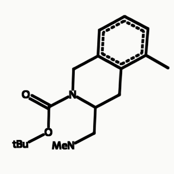 CNCC1Cc2c(C)cccc2CN1C(=O)OC(C)(C)C